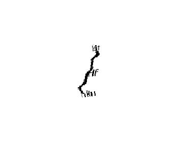 CCCCCCCCCCBr.F